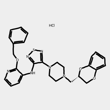 Cl.c1ccc(COc2ncccc2Nc2nsnc2N2CCN(C[C@H]3COc4ccccc4O3)CC2)cc1